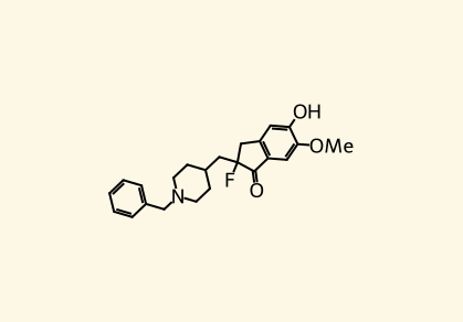 COc1cc2c(cc1O)CC(F)(CC1CCN(Cc3ccccc3)CC1)C2=O